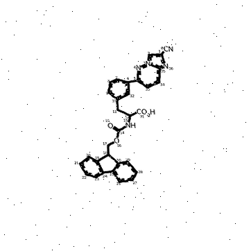 N#Cc1cn2nc(-c3cccc(CC(NC(=O)OCC4c5ccccc5-c5ccccc54)C(=O)O)c3)ccc2n1